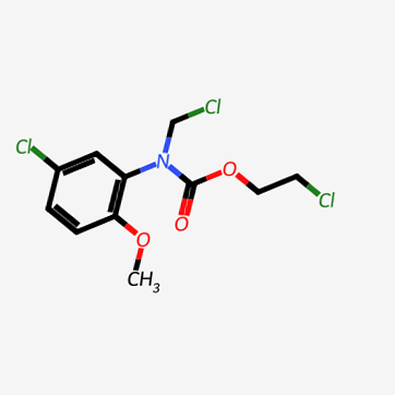 COc1ccc(Cl)cc1N(CCl)C(=O)OCCCl